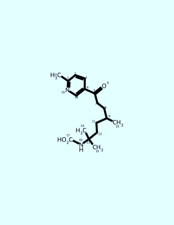 Cc1ccc(C(=O)CCC(C)CCC(C)(C)NC(=O)O)cn1